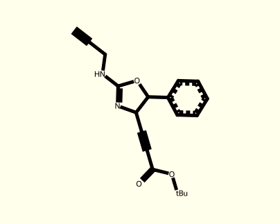 C#CCNC1=NC(C#CC(=O)OC(C)(C)C)C(c2ccccc2)O1